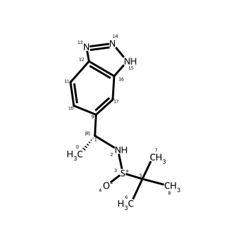 C[C@@H](N[S+]([O-])C(C)(C)C)c1ccc2nn[nH]c2c1